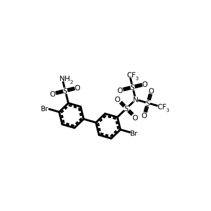 NS(=O)(=O)c1cc(-c2ccc(Br)c(S(=O)(=O)N(S(=O)(=O)C(F)(F)F)S(=O)(=O)C(F)(F)F)c2)ccc1Br